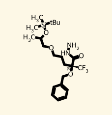 CC(COCCC[C@@](OCc1ccccc1)(C(=O)NN)C(F)(F)F)O[Si](C)(C)C(C)(C)C